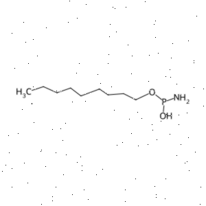 CCCCCCCCCOP(N)O